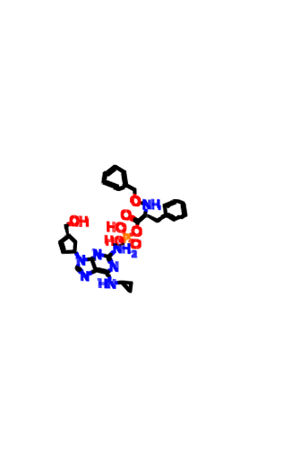 Nc1nc(NC2CC2)c2ncn([C@H]3C=C[C@@H](CO)C3)c2n1.O=C(OP(=O)(O)O)[C@H](Cc1ccccc1)NOCc1ccccc1